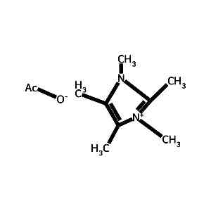 CC(=O)[O-].Cc1c(C)[n+](C)c(C)n1C